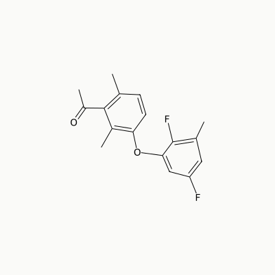 CC(=O)c1c(C)ccc(Oc2cc(F)cc(C)c2F)c1C